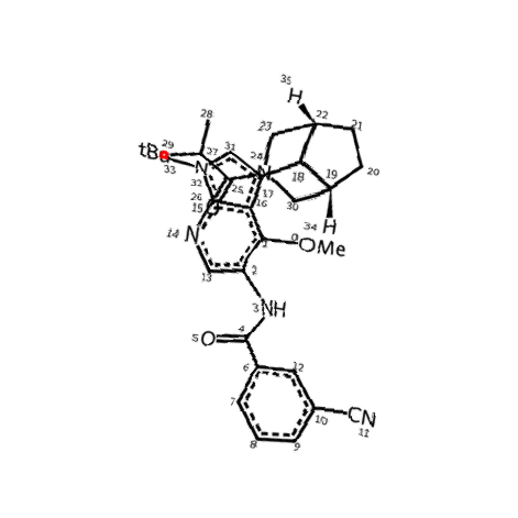 COc1c(NC(=O)c2cccc(C#N)c2)cnc2c1c(C1[C@@H]3CC[C@H]1CN(C(=O)C(C)C(C)(C)C)C3)cn2C